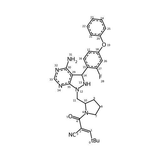 CC(C)(C)C=C(C#N)C(=O)N1CCCC1CN1NC(c2ccc(Oc3ccccc3)cc2F)c2c(N)ncnc21